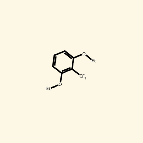 CCOc1cccc(OCC)c1C(F)(F)F